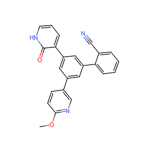 COc1ccc(-c2cc(-c3ccccc3C#N)cc(-c3ccc[nH]c3=O)c2)cn1